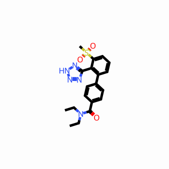 CCN(CC)C(=O)c1ccc(-c2cccc(S(C)(=O)=O)c2-c2nn[nH]n2)cc1